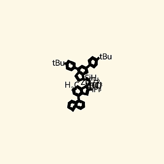 CC1=Cc2c(-c3ccc(C(C)(C)C)cc3)cc(-c3ccc(C(C)(C)C)cc3)cc2[CH]1[Zr]([CH3])([CH3])(=[SiH2])[CH]1C(C(C)C)=Cc2c(-c3cccc4ccccc34)cccc21.Cl.Cl